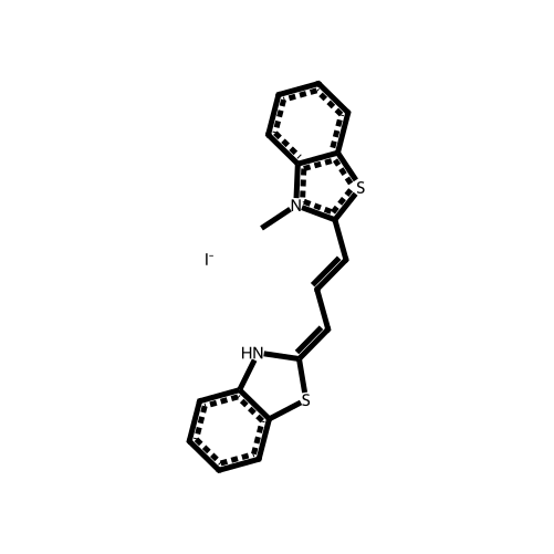 C[n+]1c(C=CC=C2Nc3ccccc3S2)sc2ccccc21.[I-]